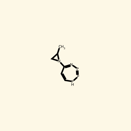 CC1CN1C1=NP=PPC=C1